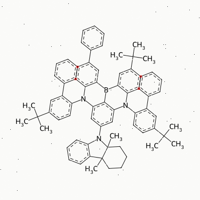 CC(C)(C)c1ccc2c(c1)B1c3cc(-c4ccccc4)ccc3N(c3ccc(C(C)(C)C)cc3-c3ccccc3)c3cc(N4c5ccccc5C5(C)CCCCC45C)cc(c31)N2c1ccc(C(C)(C)C)cc1-c1ccccc1